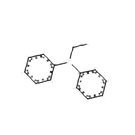 ICP(c1ccccc1)c1ccccc1